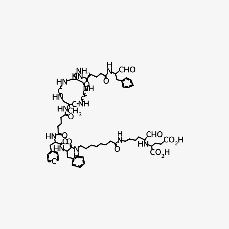 CC1(NC(=O)CCCC(=O)NC(Cc2ccccc2)C(=O)NC(Cc2ccccc2)C(=O)NCCCCCCCC(=O)NCCCCC(C=O)NC(CCC(=O)O)C(=O)O)CNCCNCC(CN)(NC(=O)CCCC(=O)NC(C=O)Cc2ccccc2)CNCCNC1